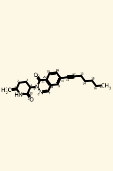 C=C1CCC(n2ncc3cc(C#CCCCCC)ccc3c2=O)C(=O)N1